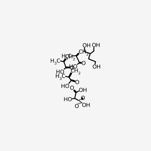 C=C(C)C(=O)O.C=C(C)C(=O)O.C=C(C)C(=O)O.O=C(O)C(O)S(=O)(=O)O.OCCC(CO)CO